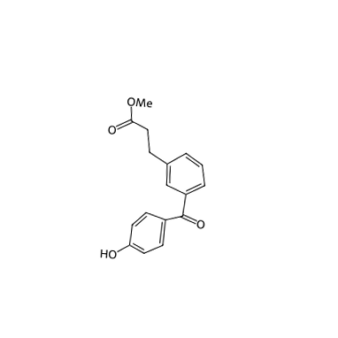 COC(=O)CCc1cccc(C(=O)c2ccc(O)cc2)c1